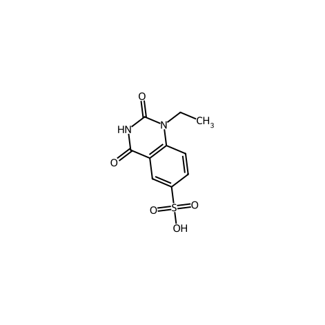 CCn1c(=O)[nH]c(=O)c2cc(S(=O)(=O)O)ccc21